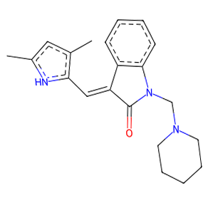 Cc1cc(C)c(C=C2C(=O)N(CN3CCCCC3)c3ccccc32)[nH]1